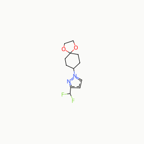 FC(F)c1ccn(C2CCC3(CC2)OCCO3)n1